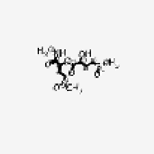 CNC(=O)C(CC[S+](C)[O-])OC(=O)C(O)CC[S+](C)[O-]